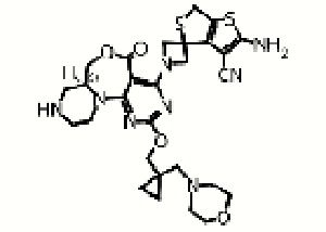 N#Cc1c(N)sc2c1C1(CN(c3nc(OCC4(CN5CCOCC5)CC4)nc4c3C(=O)OC[C@@H]3CNCCN43)C1)SC2